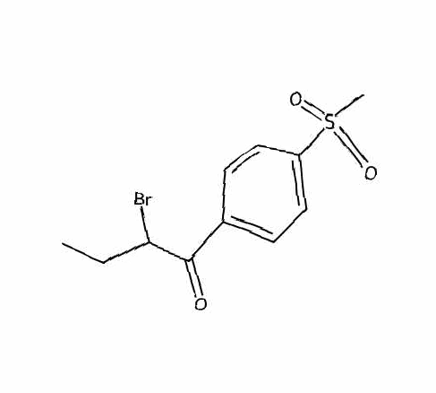 CCC(Br)C(=O)c1ccc(S(C)(=O)=O)cc1